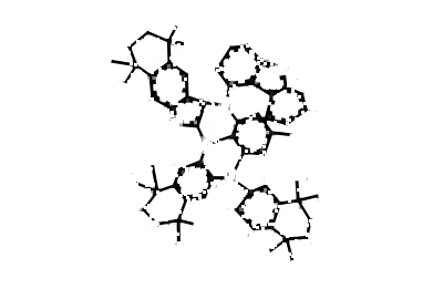 Cc1cc2c3c(c1)N(c1cccc4oc5ccccc5c14)c1c(oc4cc5c(cc14)C(C)(C)CCC5(C)C)B3c1cc3c(cc1N2c1ccc2c(c1)C(C)(C)CCC2(C)C)C(C)(C)CCC3(C)C